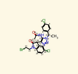 C[C@@H](c1ccc(Cl)cc1)n1nnc2c1NC(=O)C[C@]21C(=O)N(CCBr)c2ccc(Cl)cc21